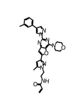 C=CC(=O)NCCn1nc(-c2cc3nc(-n4cc(-c5cccc(C)c5)cn4)nc(N4CCOCC4)c3o2)cc1C